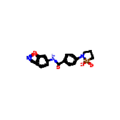 O=C(Nc1ccc2cnoc2c1)c1ccc(N2CCCS2(=O)=O)cc1